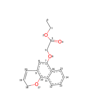 CCOC(=O)COc1cc2c(c3ccccc13)OCC=C2